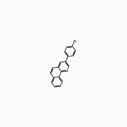 Brc1ccc(-c2cnc3c(ccc4ccccc43)c2)cc1